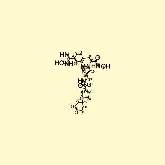 N=C(NO)c1ccc(C[C@@H](C(=O)NO)n2cc(CNS(=O)(=O)c3ccc(-c4ccccc4)s3)nn2)cc1